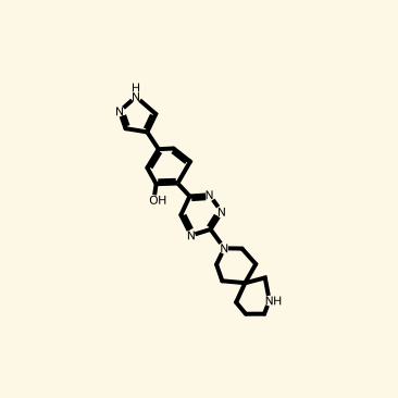 Oc1cc(-c2cn[nH]c2)ccc1-c1cnc(N2CCC3(CCCNC3)CC2)nn1